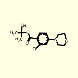 CC(C)(C)OC(=O)c1ccc(N2CCOCC2)cc1Cl